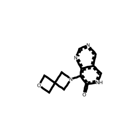 O=c1[nH]cc2cncnc2c1N1CC2(COC2)C1